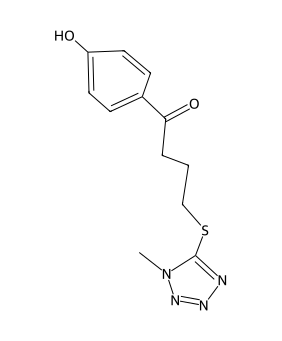 Cn1nnnc1SCCCC(=O)c1ccc(O)cc1